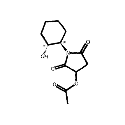 CC(=O)OC1CC(=O)N([C@@H]2CCCC[C@H]2O)C1=O